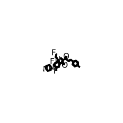 Cc1ccc(C=CC(=O)c2cn(CCF)c3c(F)c(N4CCN(C)CC4)c(F)cc3c2=O)cc1